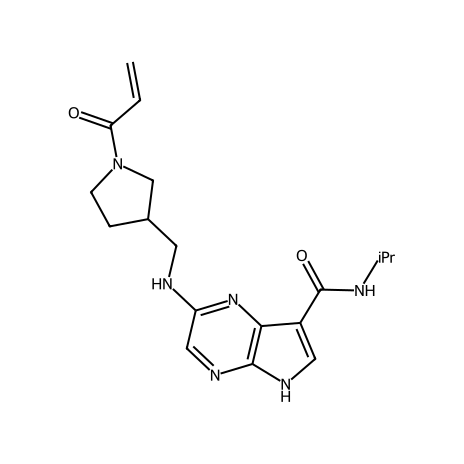 C=CC(=O)N1CCC(CNc2cnc3[nH]cc(C(=O)NC(C)C)c3n2)C1